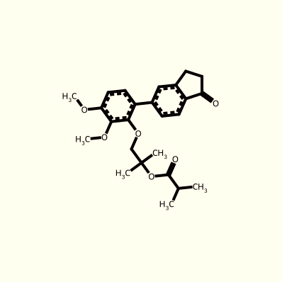 COc1ccc(-c2ccc3c(c2)CCC3=O)c(OCC(C)(C)OC(=O)C(C)C)c1OC